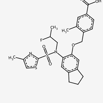 Cc1csc(S(=O)(=O)N(CC(C)F)c2cc3c(cc2OCc2ccc(C(=O)O)cc2C)CCC3)n1